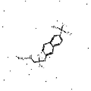 CC(C)(CNC=O)Oc1ccc2cc(C(C)(C(=O)O)C(C)(C)C)ccc2c1